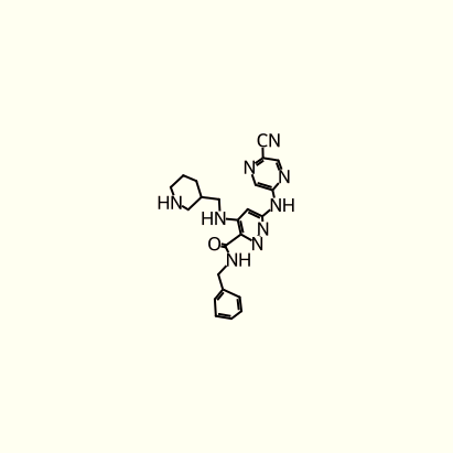 N#Cc1cnc(Nc2cc(NCC3CCCNC3)c(C(=O)NCc3ccccc3)nn2)cn1